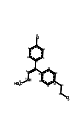 O=C(O)N/N=C(/c1ccc(Cl)cc1)c1ccc(CCCl)cc1